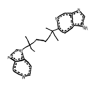 CC(C)(CCC(C)(C)n1cnc2cnccc21)c1cc2[nH]cnc2cn1